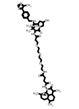 Cc1ncsc1-c1ccc(CNC(=O)C2CC(O)CN2C(=O)C(NC(=O)CCOCCOCCOCCNC(=O)CCC(=O)NN2C(=O)C(C)C3CCC(C)C4CCC5(C)OOC43C2O5)C(C)(C)C)cc1